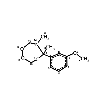 COc1cccc(C2(C)CCOOCN2C)c1